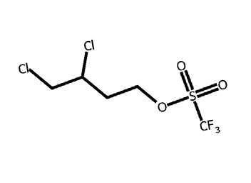 O=S(=O)(OCCC(Cl)CCl)C(F)(F)F